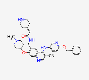 CN1CCC(Oc2cc3ncc(C#N)c(Nc4ccc(OCc5ccccc5)nc4)c3cc2CNC(=O)C=C2CCNCC2)CC1